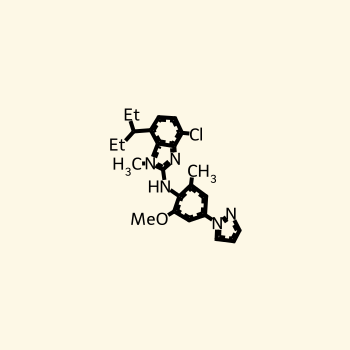 CCC(CC)c1ccc(Cl)c2nc(Nc3c(C)cc(-n4cccn4)cc3OC)n(C)c12